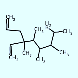 BC(C)C(C)C(C)C(C)C(C)(C=C)CC=C